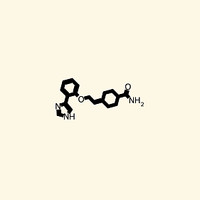 NC(=O)C1CCC(=CCOc2ccccc2-c2c[nH]cn2)CC1